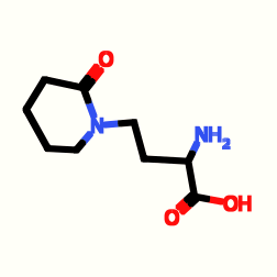 NC(CCN1CCCCC1=O)C(=O)O